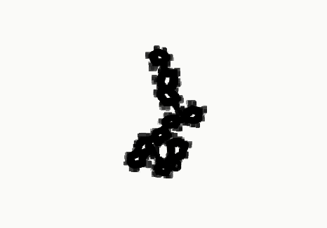 c1ccc(-c2ccc3cc(-n4c5ccccc5c5cc(-c6ccc7c(c6)c6ccc8ccccc8c6n7-c6cccc7oc8ccccc8c67)ccc54)ccc3c2)cc1